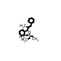 CC[Si](CC)(CC)O[C@H](/C(C)=C/c1ccccc1)c1ccccc1